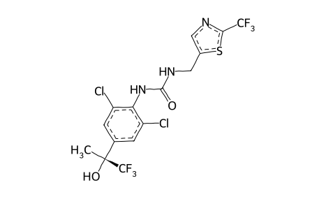 C[C@@](O)(c1cc(Cl)c(NC(=O)NCc2cnc(C(F)(F)F)s2)c(Cl)c1)C(F)(F)F